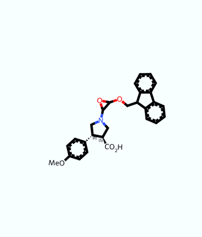 COc1ccc([C@@H]2CN(C3OC3OCC3c4ccccc4-c4ccccc43)C[C@H]2C(=O)O)cc1